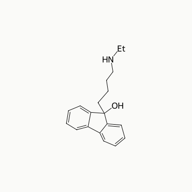 CCNCCCCC1(O)c2ccccc2-c2ccccc21